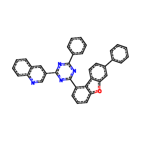 c1ccc(-c2ccc3c(c2)oc2cccc(-c4nc(-c5ccccc5)nc(-c5cnc6ccccc6c5)n4)c23)cc1